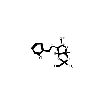 CCC[C@H]1O[C@@H]2OC(C)(CF)O[C@@H]2[C@H]1OCc1ccccc1Cl